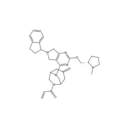 C=CC(=O)N1CC2CC(=O)CC1CN2c1nc(OC[C@@H]2CCCN2C)nc2c1CN(C1CCc3ccccc31)C2